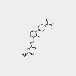 CN(C)[S+]([O-])N1CCN(c2cccc(COC(=O)NC(=N)N)c2F)CC1